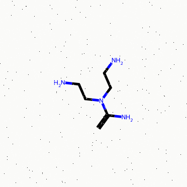 C=C(N)N(CCN)CCN